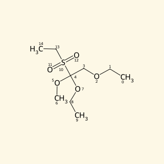 CCOCC(OC)(OCC)S(=O)(=O)CC